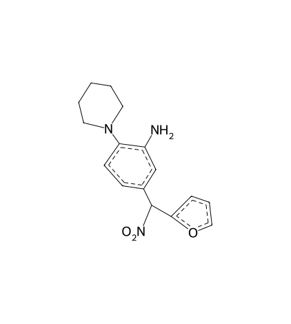 Nc1cc(C(c2ccco2)[N+](=O)[O-])ccc1N1CCCCC1